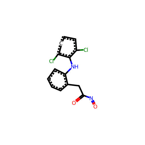 O=NC(=O)Cc1ccccc1Nc1c(Cl)cccc1Cl